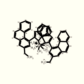 CCc1cc(C2=Cc3ccccc3[CH]2[Zr]([CH3])([CH3])([CH3])([CH3])(=[SiH2])[CH]2C(c3cc(CC)cc4ccc5ccccc5c34)=Cc3ccccc32)c2c(ccc3ccccc32)c1